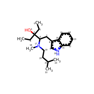 CCC(O)(CC)C(Cc1c[nH]c2ccccc12)N(C)CCC(C)C